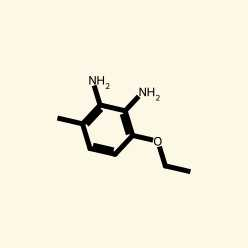 CCOc1ccc(C)c(N)c1N